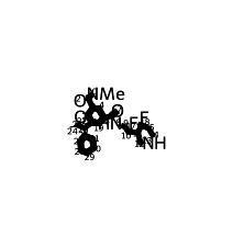 CNC(=O)c1cc(C(=O)NCCC2CNCCC2(F)F)cc2c1O[C@@H](C)[C@@H]2c1ccccc1